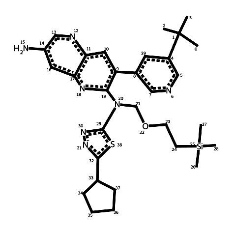 CC(C)(C)c1cncc(-c2cc3ncc(N)cc3nc2N(COCC[Si](C)(C)C)c2nnc(C3CCCC3)s2)c1